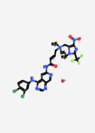 Cn1c(C(F)(F)F)nc([N+](=O)[O-])c1C[N+](C)(C)C/C=C/C(=O)Nc1cc2c(Nc3ccc(Cl)c(Cl)c3)ncnc2cn1.[Br-]